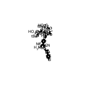 C[C@H](NC(=O)[C@H](CC(=O)O)NC(=O)OC(C)(C)C)C(=O)OC[C@H](COc1ccc(-c2c(C#N)c(N)nc(SCc3coc(-c4ccc(Cl)cc4)n3)c2C#N)cc1)OC(=O)[C@H](C)NC(=O)[C@H](CC(=O)O)NC(=O)OC(C)(C)C